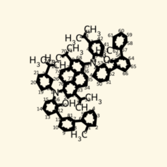 Cc1ccccc1-c1cccc(-c2cccc(N(c3cccc(C(C)C)c3)c3cc(C(C)C)c4ccc5c(N(c6cccc(C(C)C)c6)c6cccc7c6oc6c(-c8ccccc8C)cccc67)cc(C(C)C)c6ccc3c4c65)c2O)c1